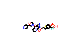 CC(C)(C)[C@H](NC(=O)c1cc2cc(C(F)(F)P(=O)(O)O)ccc2s1)C(=O)N1CCC[C@H]1C(=O)N1CCOC(c2ccncc2)C1